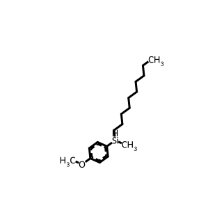 CCCCCCCCCC[SiH](C)c1ccc(OC)cc1